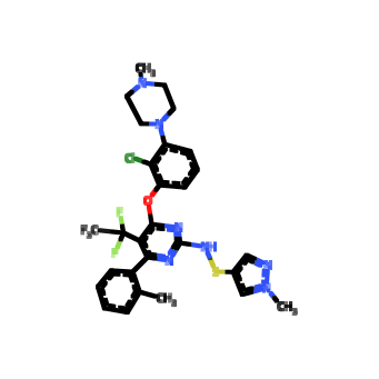 Cc1ccccc1-c1nc(NSc2cnn(C)c2)nc(Oc2cccc(N3CCN(C)CC3)c2Cl)c1C(F)(F)C(F)(F)F